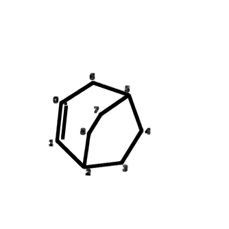 [C]1=CC2CCC(C1)CC2